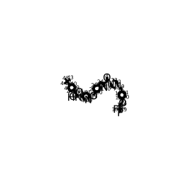 Cn1c(C(=O)N2CCN(Cc3ccc(OCC(F)(F)F)cc3)CC2)cc2ccc(Oc3ccc(NS(=O)(=O)c4ccc(C(C)(C)C)cc4)cn3)cc21